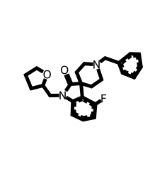 O=C1N(CC2CCCO2)c2cccc(F)c2C12CCN(Cc1ccccc1)CC2